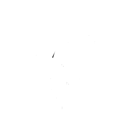 CCOC(=O)c1sc2c(c1C)c(=O)n(CC(=O)O)c(=O)n2C[C@H](OC(C)C)c1ccccc1OC(C)C